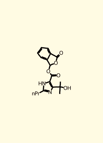 CCCc1nc(C(C)(C)O)c(C(=O)OC2OC(=O)c3ccccc32)[nH]1